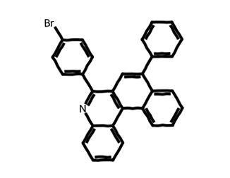 Brc1ccc(-c2nc3ccccc3c3c2cc(-c2ccccc2)c2ccccc23)cc1